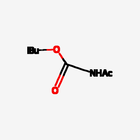 CCC(C)OC(=O)NC(C)=O